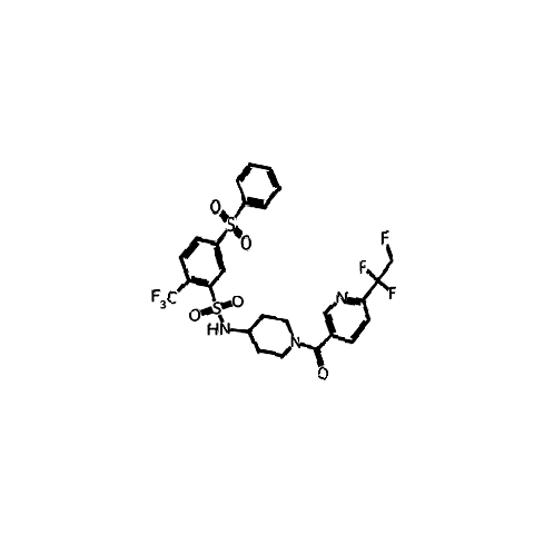 O=C(c1ccc(C(F)(F)CF)nc1)N1CCC(NS(=O)(=O)c2cc(S(=O)(=O)c3ccccc3)ccc2C(F)(F)F)CC1